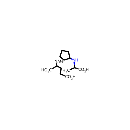 CC(NC1CCCC1)C(=O)O.CN[C@@H](CCC(=O)O)C(=O)O